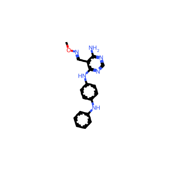 CON=Cc1c(N)ncnc1Nc1ccc(Nc2ccccc2)cc1